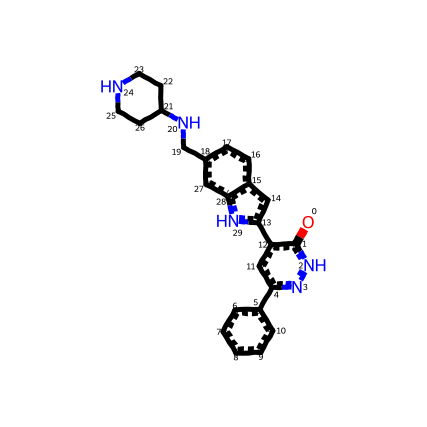 O=c1[nH]nc(-c2ccccc2)cc1-c1cc2ccc(CNC3CCNCC3)cc2[nH]1